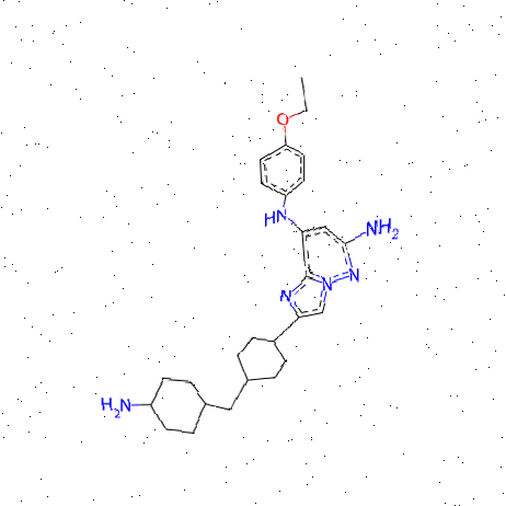 CCOc1ccc(Nc2cc(N)nn3cc(C4CCC(CC5CCC(N)CC5)CC4)nc23)cc1